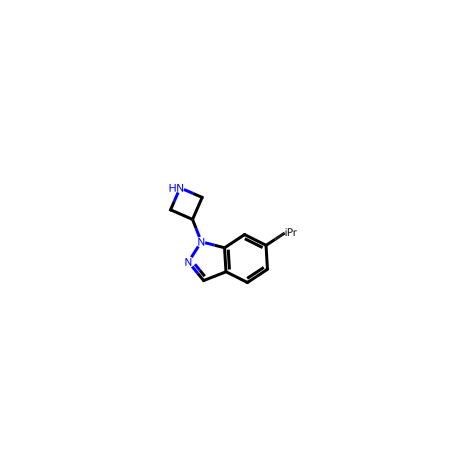 CC(C)c1ccc2cnn(C3CNC3)c2c1